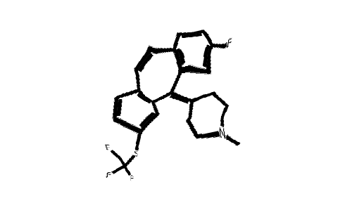 CN1CCC(=C2c3cc(F)ccc3C=Cc3ccc(SC(F)(F)F)cc32)CC1